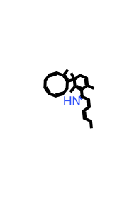 CC/C=C\C=C/C(=N)C1=C(C)C(C)(/C2=C(C)/C=C\C/C=C\C=C/C2)CC=C1C